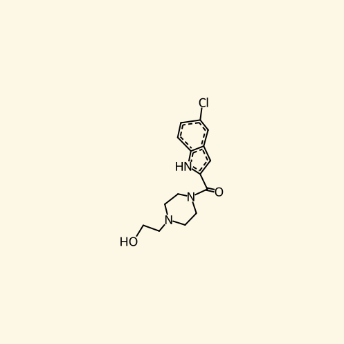 O=C(c1cc2cc(Cl)ccc2[nH]1)N1CCN(CCO)CC1